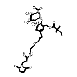 CCC(C)(C)C(=O)OCc1cc(CCCOCCNC(=O)CCN2C(=O)C=CC2=O)ccc1O[C@@H]1O[C@H](C(=O)O)[C@@H](O)[C@H](O)[C@H]1O